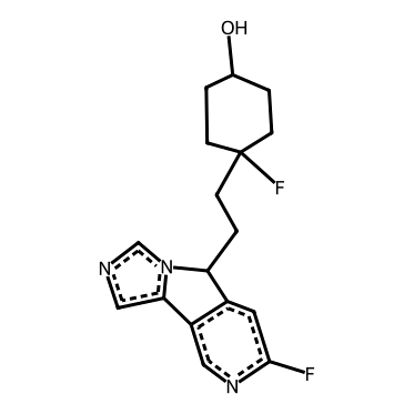 OC1CCC(F)(CCC2c3cc(F)ncc3-c3cncn32)CC1